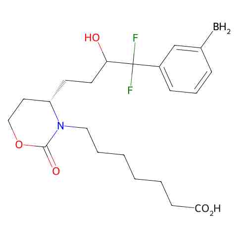 Bc1cccc(C(F)(F)C(O)CC[C@H]2CCOC(=O)N2CCCCCCC(=O)O)c1